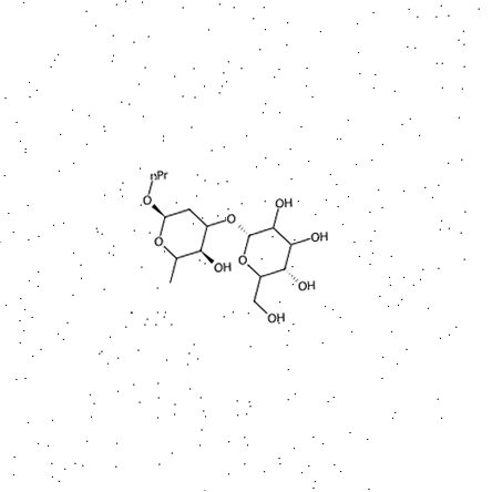 CCCO[C@H]1CC(O[C@H]2OC(CO)[C@@H](O)C(O)C2O)[C@@H](O)C(C)O1